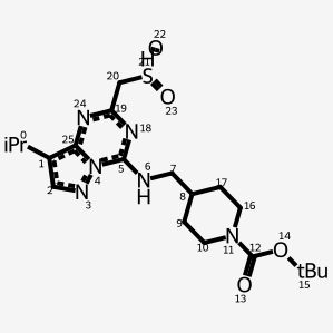 CC(C)c1cnn2c(NCC3CCN(C(=O)OC(C)(C)C)CC3)nc(C[SH](=O)=O)nc12